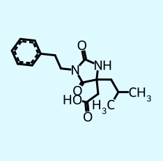 CC(C)CC1(CC(=O)O)NC(=O)N(CCc2ccccc2)C1=O